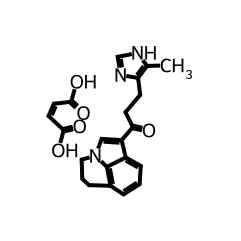 Cc1[nH]cnc1CCC(=O)c1cn2c3c(cccc13)CCC2.O=C(O)/C=C\C(=O)O